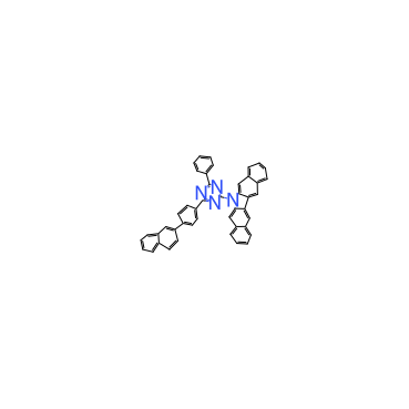 c1ccc(-c2nc(-c3ccc(-c4ccc5ccccc5c4)cc3)nc(-n3c4cc5ccccc5cc4c4cc5ccccc5cc43)n2)cc1